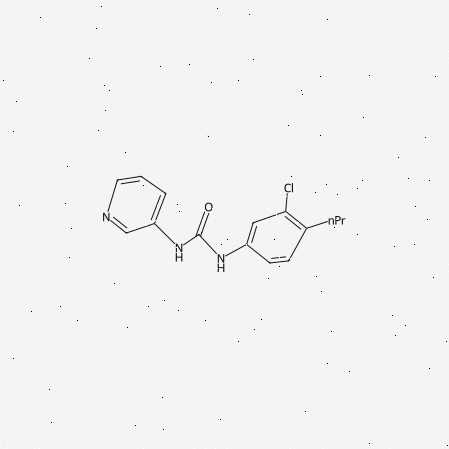 CCCc1ccc(NC(=O)Nc2cccnc2)cc1Cl